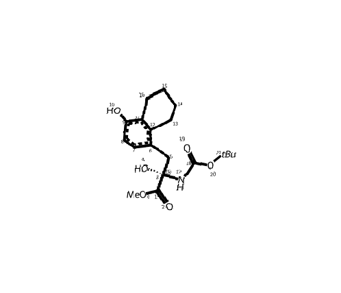 COC(=O)[C@@](O)(Cc1ccc(O)c2c1CCCC2)NC(=O)OC(C)(C)C